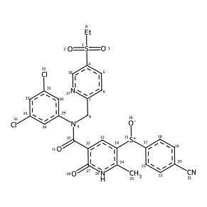 CCS(=O)(=O)c1ccc(CN(C(=O)c2cc([S+]([O-])c3ccc(C#N)cc3)c(C)[nH]c2=O)c2cc(Cl)cc(Cl)c2)nc1